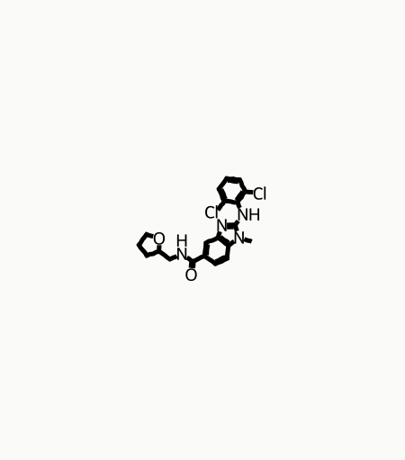 Cn1c(Nc2c(Cl)cccc2Cl)nc2cc(C(=O)NCC3CCCO3)ccc21